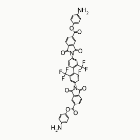 Nc1ccc(OC(=O)c2ccc3c(c2)C(=O)N(c2ccc(-c4ccc(N5C(=O)c6ccc(C(=O)Oc7ccc(N)cc7)cc6C5=O)cc4C(F)(F)F)c(C(F)(F)F)c2)C3=O)cc1